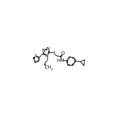 C=CCn1c(SCC(=O)Nc2ccc(C3CC3)cc2)nnc1-c1cccs1